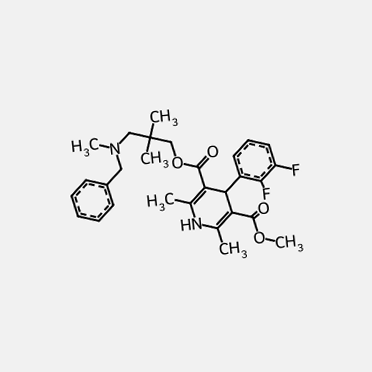 COC(=O)C1=C(C)NC(C)=C(C(=O)OCC(C)(C)CN(C)Cc2ccccc2)C1c1cccc(F)c1F